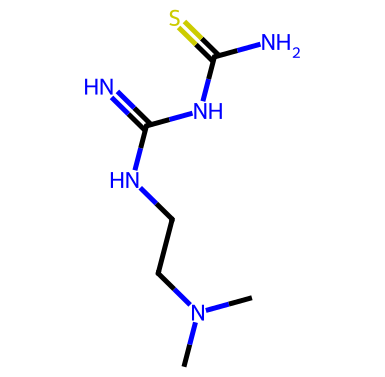 CN(C)CCNC(=N)NC(N)=S